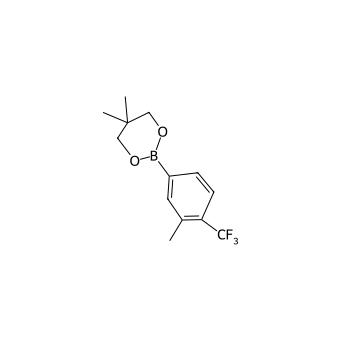 Cc1cc(B2OCC(C)(C)CO2)ccc1C(F)(F)F